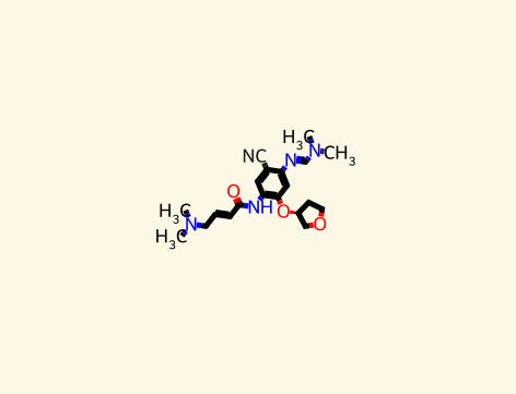 CN(C)/C=N/c1cc(O[C@H]2CCOC2)c(NC(=O)/C=C/CN(C)C)cc1C#N